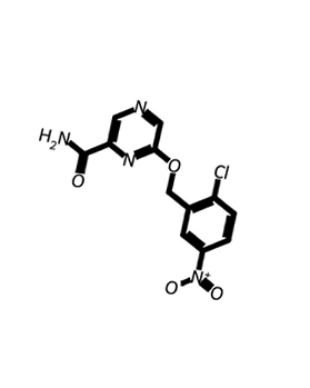 NC(=O)c1cncc(OCc2cc([N+](=O)[O-])ccc2Cl)n1